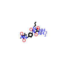 CCCCN1C(=O)C(=C(N)N)C(=O)N(c2ccc(CN3C(=O)N(C)C(=O)C3(C)C)cc2)C1=O